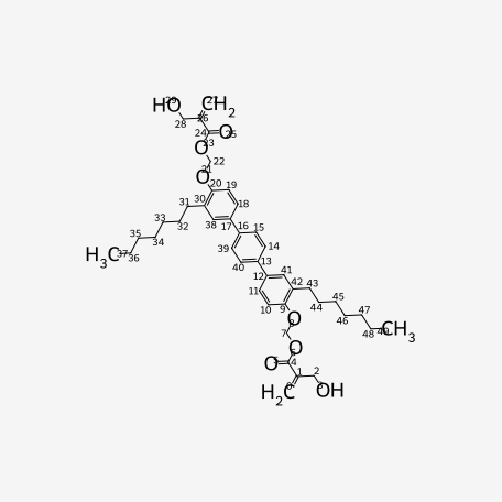 C=C(CO)C(=O)OCOc1ccc(-c2ccc(-c3ccc(OCOC(=O)C(=C)CO)c(CCCCCCC)c3)cc2)cc1CCCCCCC